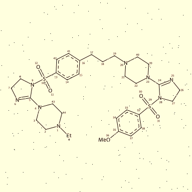 CCN1CCN(C2=NCCN2S(=O)(=O)c2ccc(CCCN3CCN(C4=NCCN4S(=O)(=O)c4ccc(OC)cc4)CC3)cc2)CC1